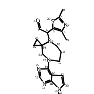 Cc1nc(C)c(C(C=O)N2CCCN(c3ncnc4[nH]ccc34)CC23CC3)s1